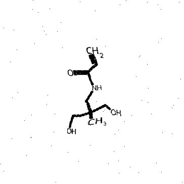 C=CC(=O)NCC(C)(CO)CO